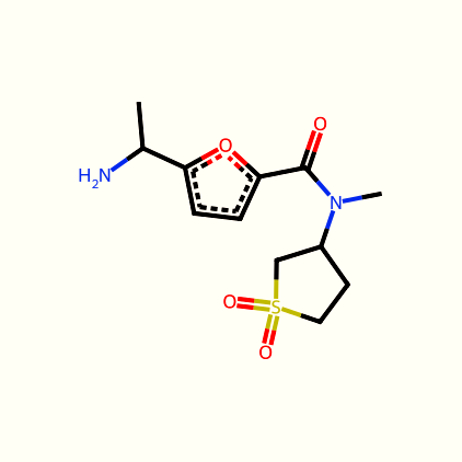 CC(N)c1ccc(C(=O)N(C)C2CCS(=O)(=O)C2)o1